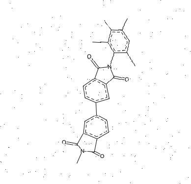 Cc1cc(C)c(N2C(=O)c3ccc(-c4ccc5c(c4)C(=O)N(C)C5=O)cc3C2=O)c(C)c1C